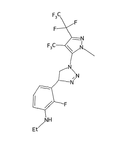 CCNc1cccc(C2CN(c3c(C(F)(F)F)c(C(F)(F)C(F)(F)F)nn3C)N=N2)c1F